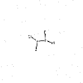 FP(Cl)P(F)Cl